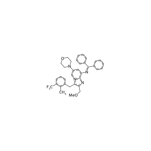 COCc1nc2c(N=C(c3ccccc3)c3ccccc3)cc(N3CCOCC3)cn2c1Cc1cccc(C(F)(F)F)c1C